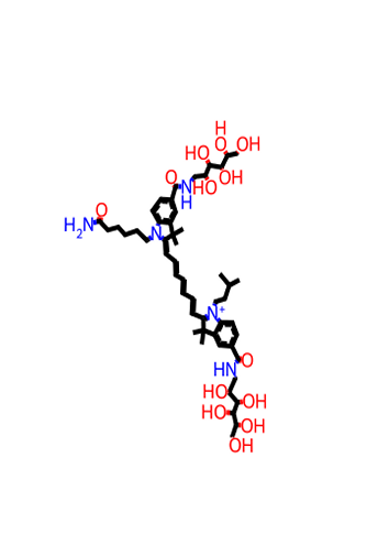 CC(C)CC[N+]1=C(/C=C/C=C/C=C/C=C2/N(CCCCCC(N)=O)c3ccc(C(=O)NCC(O)C(O)C(O)C(O)CO)cc3C2(C)C)C(C)(C)c2cc(C(=O)NCC(O)C(O)C(O)C(O)CO)ccc21